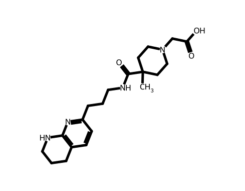 CC1(C(=O)NCCCc2ccc3c(n2)NCCC3)CCN(CC(=O)O)CC1